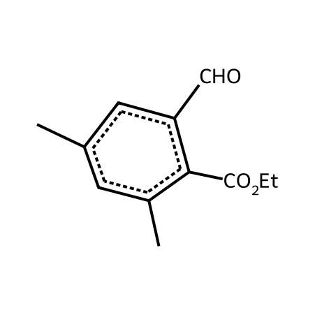 CCOC(=O)c1c(C)cc(C)cc1C=O